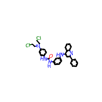 O=C(Nc1ccc(N(CCCl)CCCl)cc1)Nc1cccc(Nc2cc(-c3ccccc3)nc3ccccc23)c1